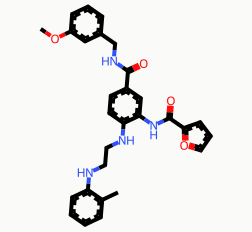 COc1cccc(CNC(=O)c2ccc(NCCNc3ccccc3C)c(NC(=O)c3ccco3)c2)c1